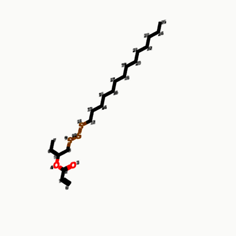 C=CC(=O)OC(CC)CSSSCCCCCCCCCCCCCC